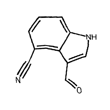 N#Cc1cccc2[nH]cc(C=O)c12